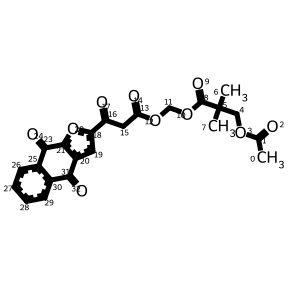 CC(=O)OCC(C)(C)C(=O)OCOC(=O)CC(=O)c1cc2c(o1)C(=O)c1ccccc1C2=O